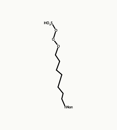 CCCCCCCCCCCCCCCCOOOS(=O)(=O)O